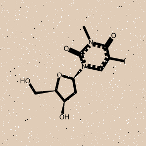 Cn1c(=O)c(I)cn([C@H]2C[C@@H](O)[C@@H](CO)O2)c1=O